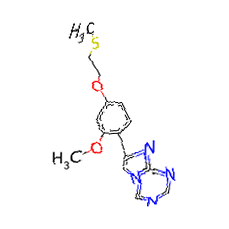 COc1cc(OCCSC)ccc1-c1cn2cncnc2n1